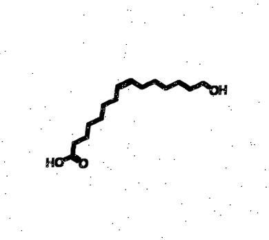 O=C(O)CCCCCC/C=C\CCCCCCO